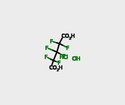 Cl.Cl.O=C(O)C(F)(F)C(F)(F)C(F)(F)C(=O)O